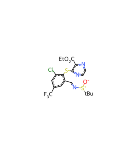 CCOC(=O)c1nccnc1Sc1c(Cl)cc(C(F)(F)F)cc1C=N[S+]([O-])C(C)(C)C